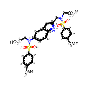 COc1ccc(S(=O)(=O)N(CC(=O)O)Cc2cc3cc(N(CC(=O)O)S(=O)(=O)c4ccc(OC)cc4)ccc3[nH]2)cc1